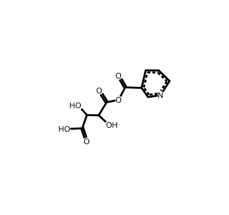 O=C(OC(=O)C(O)C(O)C(=O)O)c1cccnc1